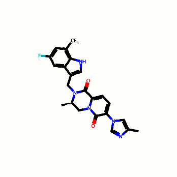 Cc1cn(-c2ccc3n(c2=O)C[C@@H](C)N(Cc2c[nH]c4c(C(F)(F)F)cc(F)cc24)C3=O)cn1